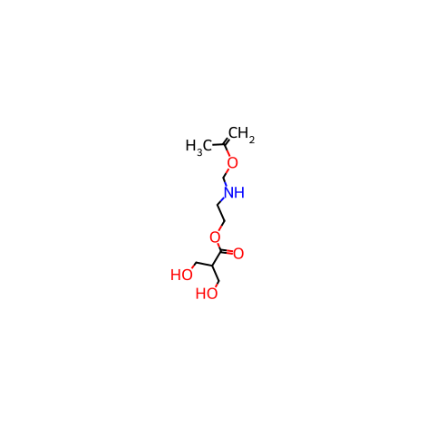 C=C(C)OCNCCOC(=O)C(CO)CO